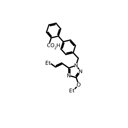 CC/C=C/c1nc(OCC)nn1Cc1ccc(-c2ccccc2C(=O)O)cc1